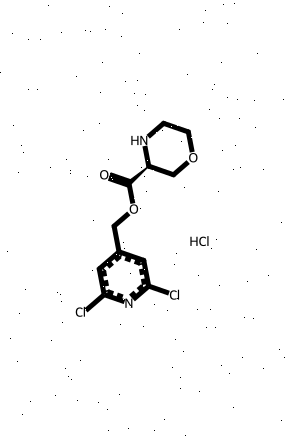 Cl.O=C(OCc1cc(Cl)nc(Cl)c1)[C@@H]1COCCN1